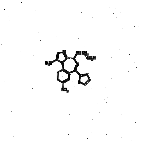 CC(=O)O.Cc1cnc2n1-c1ccc([N+](=O)[O-])cc1C(c1cccs1)=NC2O